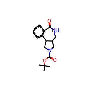 CC(C)(C)OC(=O)N1CC2CNC(=O)c3ccccc3C2C1